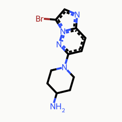 NC1CCN(c2ccc3ncc(Br)n3n2)CC1